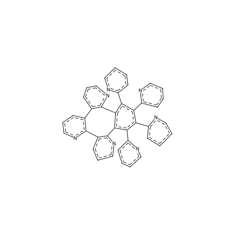 c1ccc(-c2c(-c3ccccn3)c(-c3ccccn3)c3c(c2-c2ccccn2)-c2ncccc2-c2cccnc2-c2cccnc2-3)nc1